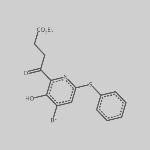 CCOC(=O)CCC(=O)c1nc(Sc2ccccc2)cc(Br)c1O